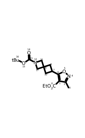 CCOC(=O)c1c(C)noc1C1CC2(C1)CN(C(=O)OC(C)(C)C)C2